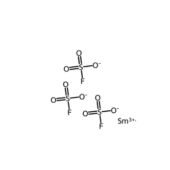 O=S(=O)([O-])F.O=S(=O)([O-])F.O=S(=O)([O-])F.[Sm+3]